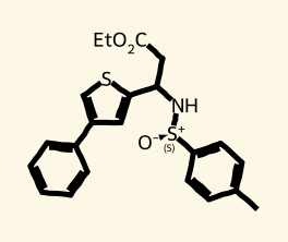 CCOC(=O)CC(N[S@+]([O-])c1ccc(C)cc1)c1cc(-c2ccccc2)cs1